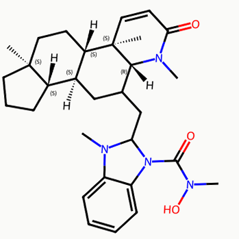 CN(O)C(=O)N1c2ccccc2N(C)C1CC1C[C@H]2[C@@H]3CCC[C@@]3(C)CC[C@@H]2[C@@]2(C)C=CC(=O)N(C)[C@H]12